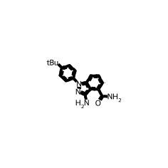 CC(C)(C)c1ccc(-n2nc(N)c3c(C(N)=O)[c]ccc32)cc1